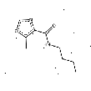 CCCCNC(=O)c1ncoc1C